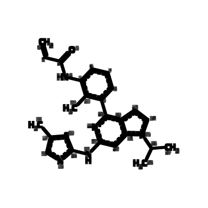 C=CC(=O)Nc1cccc(-c2nc(Nc3ncc(C)s3)cc3c2ccn3C(C)C)c1C